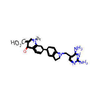 CC(C)n1cc(C(=O)O)c(=O)c2ccc(-c3ccc4c(c3)CCN4Cc3cnc(N)nc3N)cc21